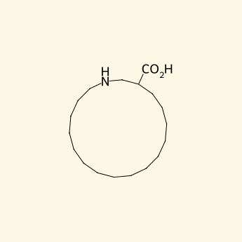 O=C(O)C1CCCCCCCCCCCCCCCNC1